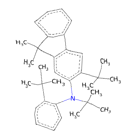 CC(C)(C)c1ccccc1N(c1cc2c(cc1C(C)(C)C)-c1ccccc1C2(C)C)C(C)(C)C